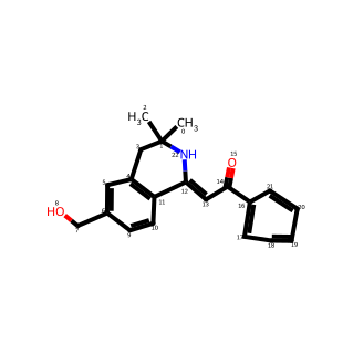 CC1(C)Cc2cc(CO)ccc2C(=CC(=O)c2ccccc2)N1